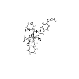 COc1ccc(CC(NC(=O)C2COCCN2)C(=O)N[C@@H](Cc2ccccc2)C(=O)C2(C)CC2)cc1